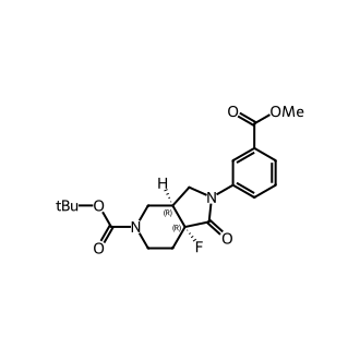 COC(=O)c1cccc(N2C[C@@H]3CN(C(=O)OC(C)(C)C)CC[C@]3(F)C2=O)c1